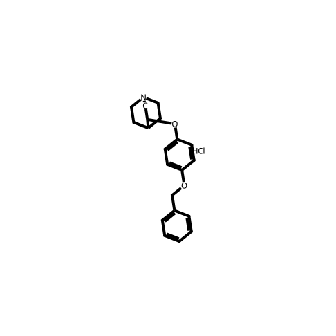 Cl.c1ccc(COc2ccc(OC3CN4CCC3CC4)cc2)cc1